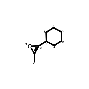 CC1=C(C2CCCCC2)O1